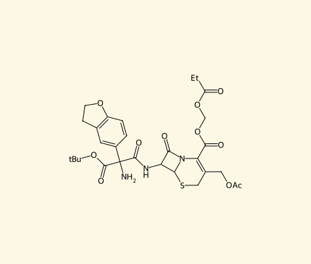 CCC(=O)OCOC(=O)C1=C(COC(C)=O)CSC2C(NC(=O)C(N)(C(=O)OC(C)(C)C)c3ccc4c(c3)CCO4)C(=O)N12